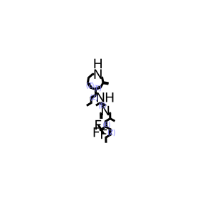 C=CN(/C=C(\C)NC(=C\CC)/C1=C/C(=C)CNCC/C=C\1)CC(C)/C=C(\C=C/CC)C(F)(F)F